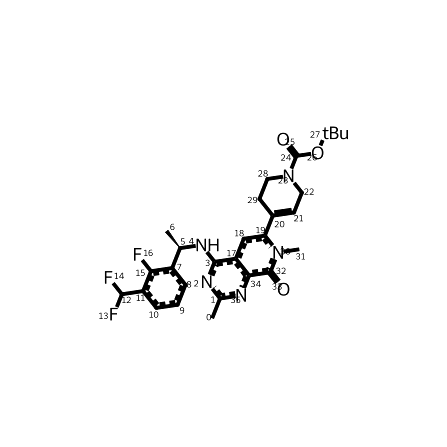 Cc1nc(N[C@H](C)c2cccc(C(F)F)c2F)c2cc(C3=CCN(C(=O)OC(C)(C)C)CC3)n(C)c(=O)c2n1